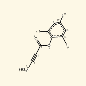 O=C(O)C#CC(=O)Oc1c(I)cc(I)cc1I